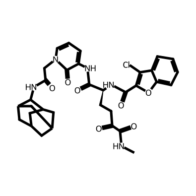 CNC(=O)C(=O)CC[C@H](NC(=O)c1oc2ccccc2c1Cl)C(=O)Nc1cccn(CC(=O)NC2C3CC4CC(C3)CC2C4)c1=O